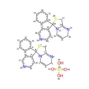 C1=CN2C(=NC1)CSC2(c1ccccc1)c1ccncc1.C1=CN2C(=NC1)CSC2(c1ccccc1)c1ccncc1.O=S(=O)(O)O